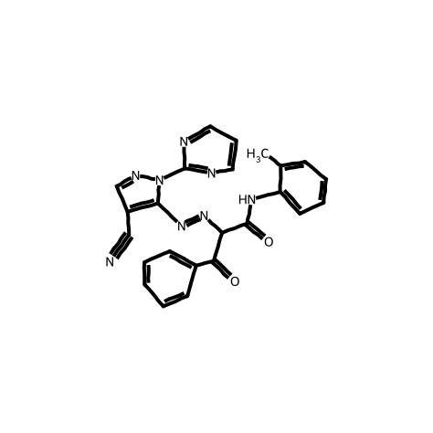 Cc1ccccc1NC(=O)C(N=Nc1c(C#N)cnn1-c1ncccn1)C(=O)c1ccccc1